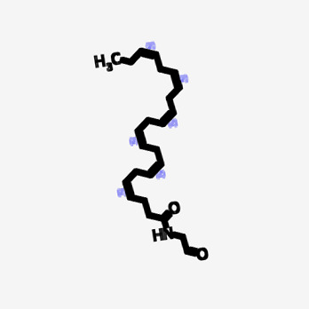 CC/C=C\C/C=C\C/C=C\C/C=C\C/C=C\C/C=C\CCC(=O)NCC=O